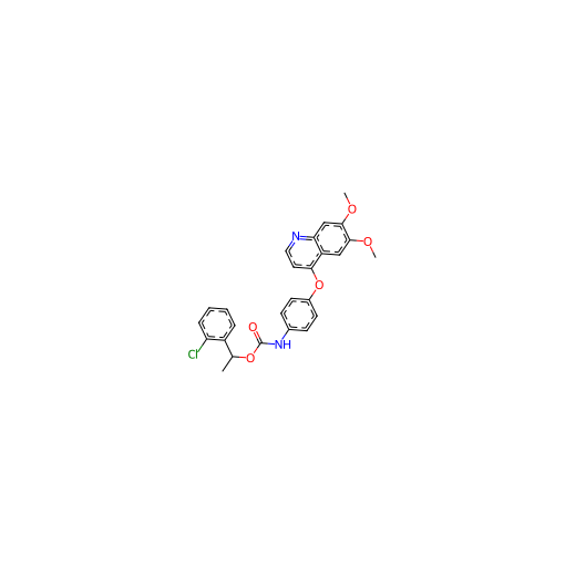 COc1cc2nccc(Oc3ccc(NC(=O)OC(C)c4ccccc4Cl)cc3)c2cc1OC